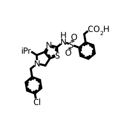 CC(C)C1c2nc(NS(=O)(=O)c3ccccc3CC(=O)O)sc2CN1Cc1ccc(Cl)cc1